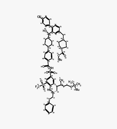 CN(CCO[Si](C)(C)C(C)(C)C)CC[C@H](CSc1ccccc1)Nc1ccc(S(=O)(=O)NC(=O)c2ccc(N3CCC([C@@H](O)c4cc(CN5CCN(C(=O)OC(C)(C)C)CC5)ccc4-c4ccc(Cl)cc4)CC3)cc2)cc1S(=O)(=O)C(F)(F)F